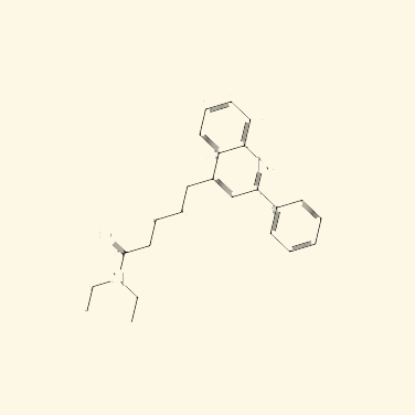 CCN(CC)C(=O)CCCCc1cc(-c2ccccc2)nc2ccccc12